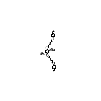 C=Cc1ccc(OCCCCCCOc2cc(C(C)(C)C)c(OCCCCCCOc3ccc(C=C)cc3)cc2C(C)(C)C)cc1